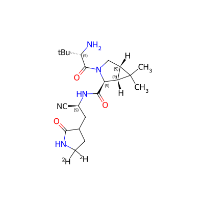 [2H]C1([2H])CC(C[C@@H](C#N)NC(=O)[C@@H]2[C@@H]3[C@H](CN2C(=O)[C@@H](N)C(C)(C)C)C3(C)C)C(=O)N1